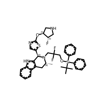 C[C@@H]1Cc2c([nH]c3ccccc23)[C@@H](c2cnc(O[C@H]3CNC[C@@H]3F)s2)N1CC(F)(F)CO[Si](c1ccccc1)(c1ccccc1)C(C)(C)C